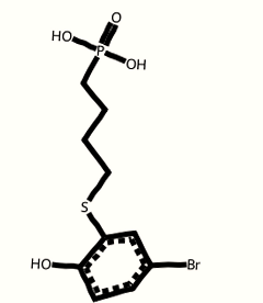 O=P(O)(O)CCCCSc1cc(Br)ccc1O